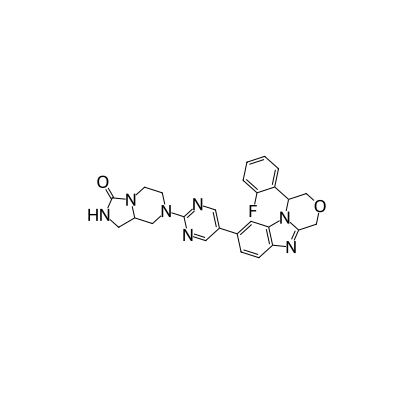 O=C1NCC2CN(c3ncc(-c4ccc5nc6n(c5c4)C(c4ccccc4F)COC6)cn3)CCN12